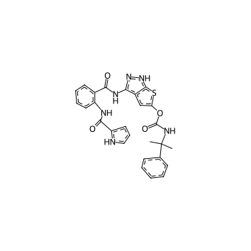 CC(C)(NC(=O)Oc1cc2c(NC(=O)c3ccccc3NC(=O)c3ccc[nH]3)n[nH]c2s1)c1ccccc1